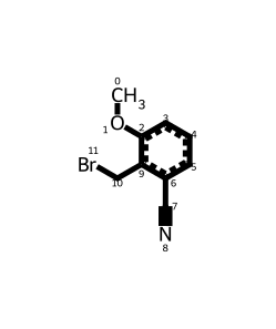 COc1cccc(C#N)c1CBr